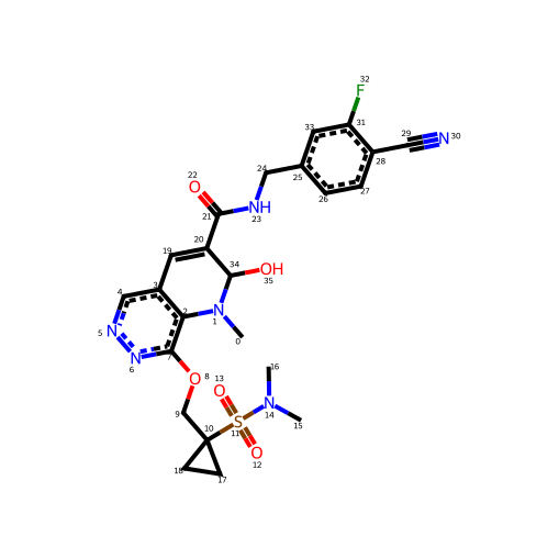 CN1c2c(cnnc2OCC2(S(=O)(=O)N(C)C)CC2)C=C(C(=O)NCc2ccc(C#N)c(F)c2)C1O